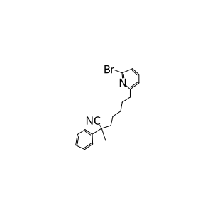 CC(C#N)(CCCCCc1cccc(Br)n1)c1ccccc1